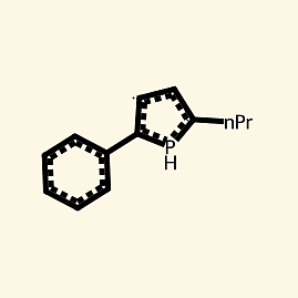 CCCc1c[c]c(-c2ccccc2)[pH]1